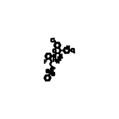 COc1ccc([C@H](c2ccc(Cl)cc2)[C@H](N=[N+]=[N-])C(=O)Nc2cccc(F)c2CC[C@H]2CN2S(=O)(=O)c2ccccc2)cn1